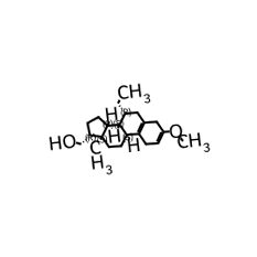 CC[C@@H]1CC2=C(CC=C(OC)C2)[C@H]2CC[C@]3(C)[C@H](CO)CC[C@@H]3[C@H]12